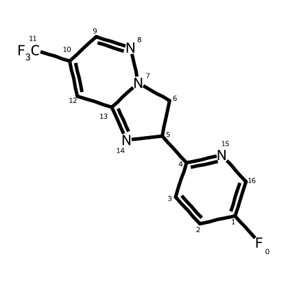 Fc1ccc(C2CN3N=CC(C(F)(F)F)=CC3=N2)nc1